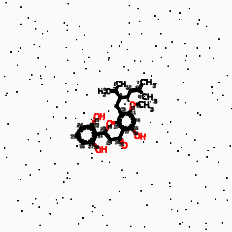 C=C(C)C(CC=C(C)C)Cc1c(OC)cc(O)c2c1OC(c1c(O)cccc1O)CC2=O